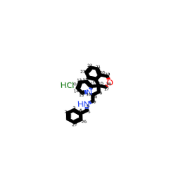 Cl.c1ccc(CNCCCC2(c3ccccn3)COCc3ccccc32)cc1